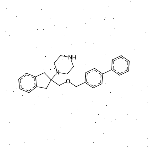 c1ccc(-c2ccc(COCC3(N4CCNCC4)Cc4ccccc4C3)cc2)cc1